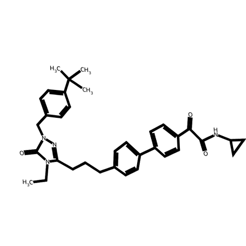 CCn1c(CCCc2ccc(-c3ccc(C(=O)C(=O)NC4CC4)cc3)cc2)nn(Cc2ccc(C(C)(C)C)cc2)c1=O